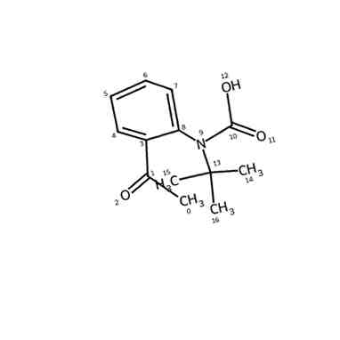 CC(=O)c1ccccc1N(C(=O)O)C(C)(C)C